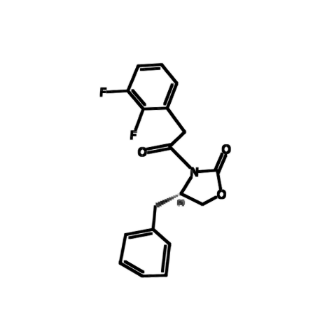 O=C(Cc1cccc(F)c1F)N1C(=O)OC[C@@H]1Cc1ccccc1